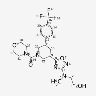 CN(CCO)c1noc(C2CC(c3ccc(C(F)(F)F)cc3)CN(C(=O)N3CCOCC3)C2)n1